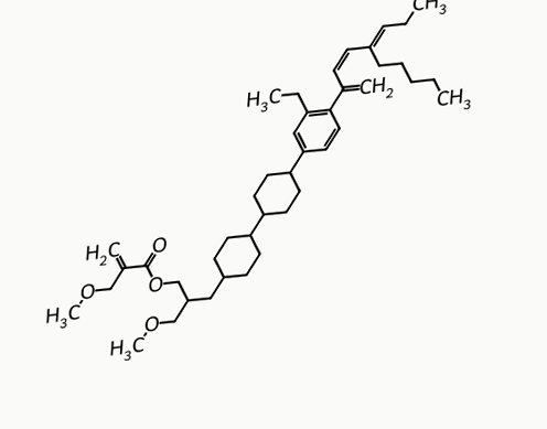 C=C(COC)C(=O)OCC(COC)CC1CCC(C2CCC(c3ccc(C(=C)/C=C\C(=C\CC)CCCCC)c(CC)c3)CC2)CC1